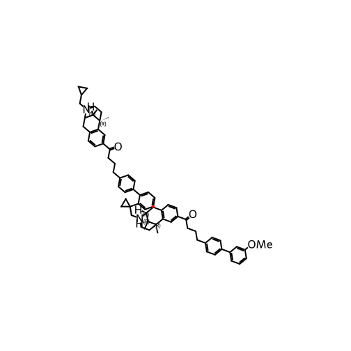 COc1cccc(-c2ccc(CCCC(=O)c3ccc4c(c3)[C@]3(C)CCN(CC5(c6ccccc6-c6ccc(CCCC(=O)c7ccc8c(c7)[C@]7(C)CCN(CC9CC9)C(C8)[C@@H]7C)cc6)CC5)[C@H](C4)[C@@H]3C)cc2)c1